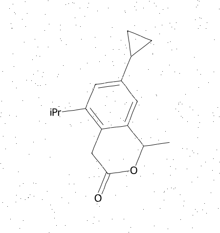 CC(C)c1cc(C2CC2)cc2c1CC(=O)OC2C